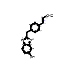 CC(C)c1ccc2[nH]c(Cc3ccc(/C=C/C=O)cc3)nc2c1